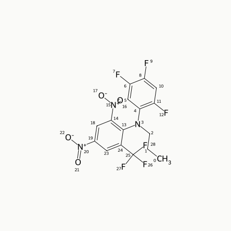 CCCN(c1cc(F)c(F)cc1F)c1c([N+](=O)[O-])cc([N+](=O)[O-])cc1C(F)(F)F